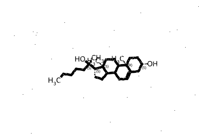 CCCCC[C@](C)(O)[C@H]1CCC2C3CC=C4C[C@@H](O)CC[C@]4(C)C3CC[C@@]21C